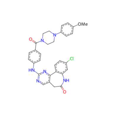 COc1ccc(N2CCN(C(=O)c3ccc(Nc4ncc5c(n4)-c4ccc(Cl)cc4NC(=O)C5)cc3)CC2)cc1